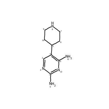 Nc1ncc(C2CCNCC2)c(N)n1